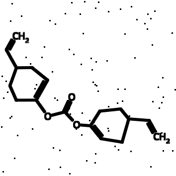 C=CC1CC=C(OC(=O)OC2=CCC(C=C)CC2)CC1